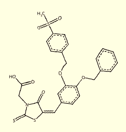 CS(=O)(=O)c1ccc(COc2cc(C=C3SC(=S)N(CC(=O)O)C3=O)ccc2OCc2ccccc2)cc1